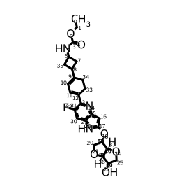 CCOC(=O)NC1CC(C2=CC=C(c3nc4cc(O[C@@H]5CO[C@H]6[C@@H]5OC[C@H]6O)[nH]c4cc3F)CC2)C1